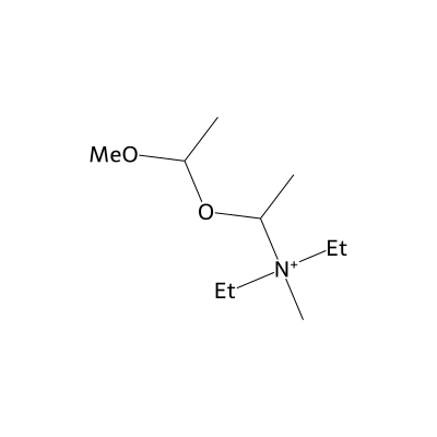 CC[N+](C)(CC)C(C)OC(C)OC